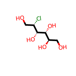 OC[C@@H](O)[C@@H](O)[C@H](O)[C@@H](Cl)CO